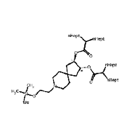 CCCCCCCC(CCCCCCC)C(=O)O[C@@H]1CC2(CCN(CCO[Si](C)(C)C(C)(C)C)CC2)C[C@H]1OC(=O)C(CCCCCCC)CCCCCCC